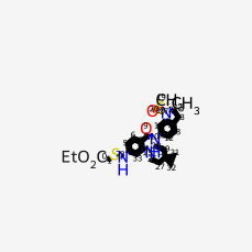 CCOC(=O)CSNc1ccc(C(=O)Nc2ccc3c(c2)N([S+](C)[O-])C(C)C3)c(N2CCC3(CC2)CC3)c1